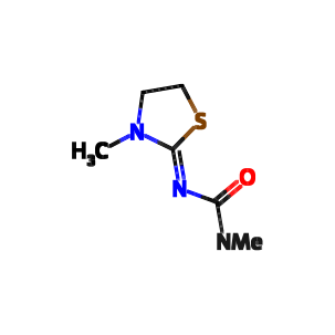 CNC(=O)/N=C1\SCCN1C